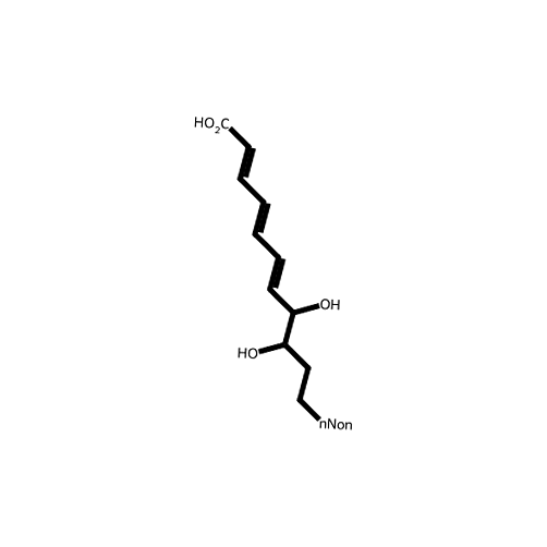 CCCCCCCCCCCC(O)C(O)/C=C/C=C/C=C/C(=O)O